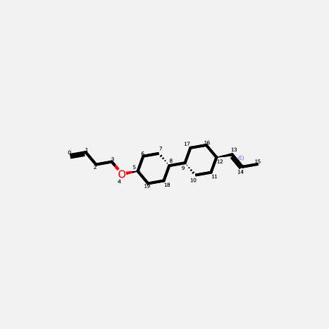 C=CCCO[C@H]1CC[C@H]([C@H]2CC[C@H](/C=C/C)CC2)CC1